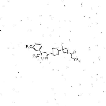 O=C(CC(F)(F)F)N1CC(F)(c2ccc(C3=NOC(c4cccc(C(F)(F)F)c4)(C(F)(F)F)C3)cc2)C1